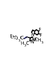 CCOC(=O)/C=C/c1c(C)nn(C)c1-n1ccc2cc(F)c(F)cc21